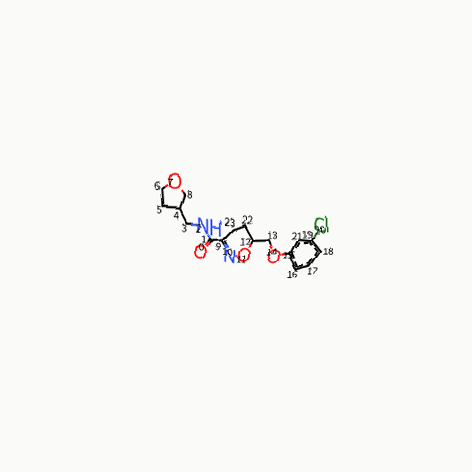 O=C(NCC1CCOC1)C1=NOC(COc2cccc(Cl)c2)CC1